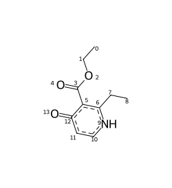 CCOC(=O)c1c(CC)[nH]ccc1=O